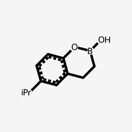 CC(C)c1ccc2c(c1)CCB(O)O2